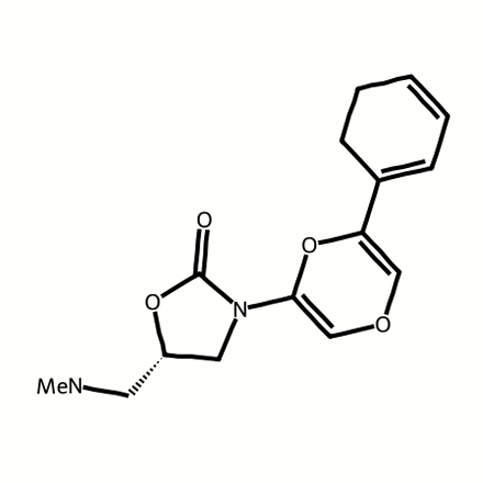 CNC[C@H]1CN(C2=COC=C(C3=CC=CCC3)O2)C(=O)O1